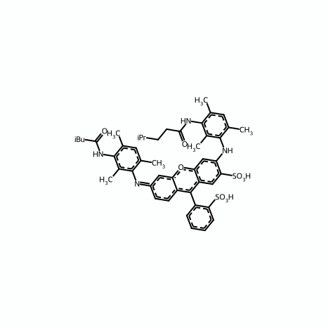 CCC(C)C(=O)Nc1c(C)cc(C)c(/N=c2/ccc3c(-c4ccccc4S(=O)(=O)O)c4cc(S(=O)(=O)O)c(Nc5c(C)cc(C)c(NC(=O)CCC(C)C)c5C)cc4oc-3c2)c1C